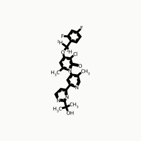 [2H]C([2H])(Oc1cc(C)n(-c2cc(-c3ccnc(C(C)(C)O)n3)ncc2C)c(=O)c1Cl)c1ccc(F)cc1F